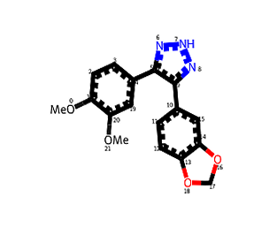 COc1ccc(-c2n[nH]nc2-c2ccc3c(c2)OCO3)cc1OC